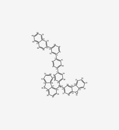 c1cc(-c2ccc(-c3ccc(N(c4ccc5oc6ccccc6c5c4)c4cccc5sc6ccccc6c45)cc3)cc2)cc(-c2ccc3ccccc3c2)c1